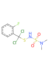 CN(C)S(=O)(=O)NSC(Cl)(Cl)c1ccccc1F